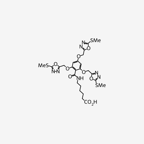 CSc1nnc(COc2cc(OCc3nnc(SC)o3)c(C(=O)NCCCCCC(=O)O)c(OCc3nnc(SC)o3)c2)o1